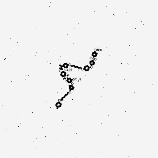 CCC(C)Oc1ccc(S(=O)(=O)c2ccc(Oc3ccc(OCCCCCCOc4ccc(C(C)C(C)(C)Oc5ccc(S(=O)(=O)c6ccc(Oc7ccc(OCCCCCCOc8ccc(C)cc8)cc7)c(S(=O)(=O)O)c6)cc5S(=O)(=O)O)cc4)cc3)cc2)cc1